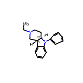 CC(C)(C)CN1CC[C@@H]2[C@@H](C1)c1ccccc1N2c1ccccc1